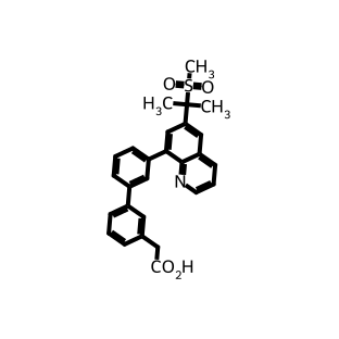 CC(C)(c1cc(-c2cccc(-c3cccc(CC(=O)O)c3)c2)c2ncccc2c1)S(C)(=O)=O